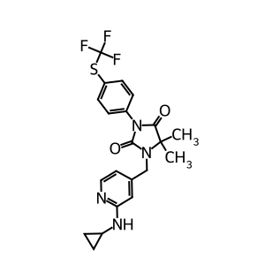 CC1(C)C(=O)N(c2ccc(SC(F)(F)F)cc2)C(=O)N1Cc1ccnc(NC2CC2)c1